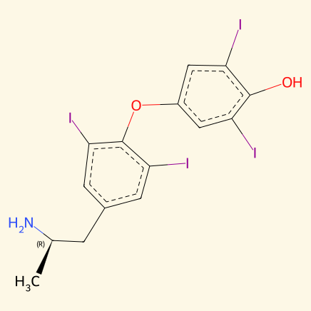 C[C@@H](N)Cc1cc(I)c(Oc2cc(I)c(O)c(I)c2)c(I)c1